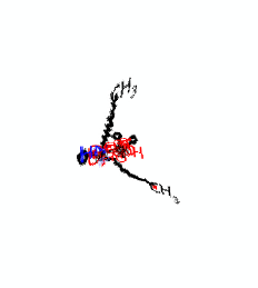 CCCCCCCCCCCCC/C=C/[C@@H](OC(=O)c1ccccc1)[C@H](CO[C@H]1O[C@H](CO)[C@@H](O)[C@H](OC(=O)c2ccccc2)[C@@H]1OC(=O)c1ccccc1)NC(=O)CCCCCCCCCCCCCCC